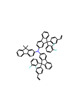 C=Cc1ccc(C2(c3cccc(F)c3F)c3ccccc3-c3ccc(N(c4ccc5c(c4)C(C)(C)c4ccccc4-5)c4ccc5c(c4)C(c4ccc(C=C)cc4)(c4cccc(F)c4F)c4ccccc4-5)cc32)cc1